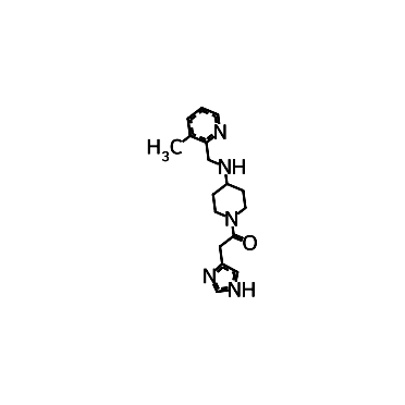 Cc1cccnc1CNC1CCN(C(=O)Cc2c[nH]cn2)CC1